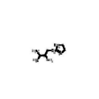 C1=NCCN1.CC(N)C(N)CO